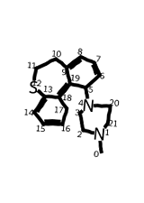 CN1CCN(C2C=CC=C3CCSC4=CC=CCC4=C32)CC1